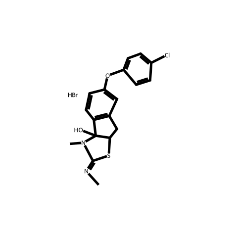 Br.C/N=C1\SC2Cc3cc(Oc4ccc(Cl)cc4)ccc3C2(O)N1C